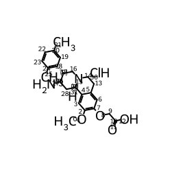 COc1cc2c(cc1OCC(=O)O)CCN1C[C@@H](c3cc(C)ccc3C)[C@H](N)C[C@H]21.Cl